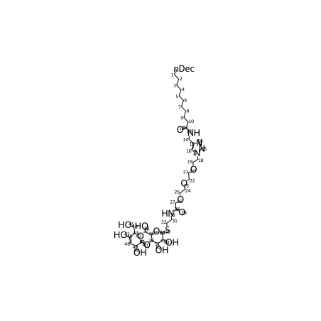 CCCCCCCCCCCCCCCCCCCCC(=O)NCc1cn(CCOCCOCCOCC(=O)NCCS[C@@H]2OC(CO)C(O[C@@H]3OC(CO)C(O)=CC3O)C(O)C2O)nn1